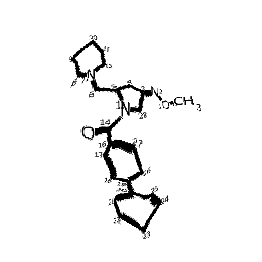 CON=C1CC(CN2CCCCC2)N(C(=O)c2ccc(-c3ccccc3)cc2)C1